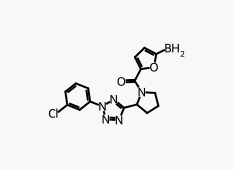 Bc1ccc(C(=O)N2CCCC2c2nnn(-c3cccc(Cl)c3)n2)o1